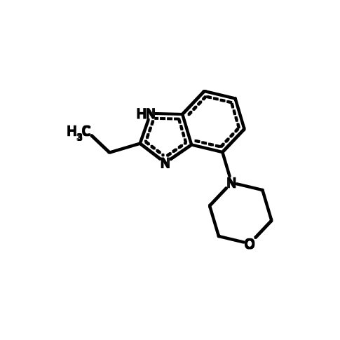 CCc1nc2c(N3CCOCC3)cccc2[nH]1